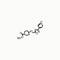 CC(C)(C)OC(=O)N1CCC(OCc2nc(C3=CCNC=C3)no2)CC1